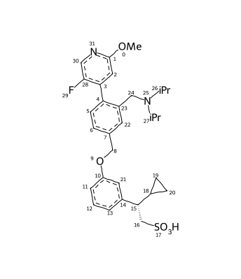 COc1cc(-c2ccc(COc3cccc([C@@H](CS(=O)(=O)O)C4CC4)c3)cc2CN(C(C)C)C(C)C)c(F)cn1